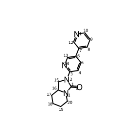 O=C1N(c2ccc(-c3cccnc3)cn2)CC2CCCCN12